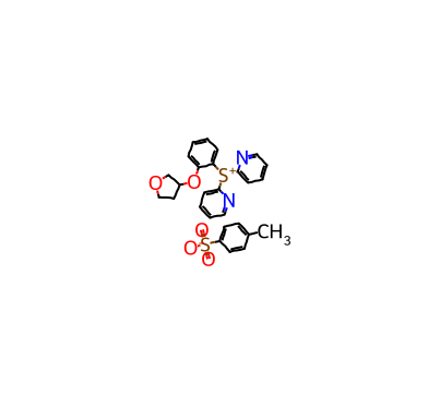 Cc1ccc(S(=O)(=O)[O-])cc1.c1ccc([S+](c2ccccn2)c2ccccc2OC2CCOC2)nc1